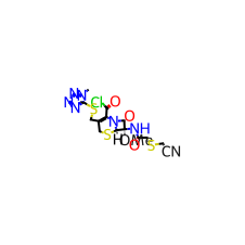 CO[C@@]1(NC(=O)CSCC#N)C(=O)N2C(C(=O)Cl)=C(CSc3nnnn3C)CS[C@@H]21